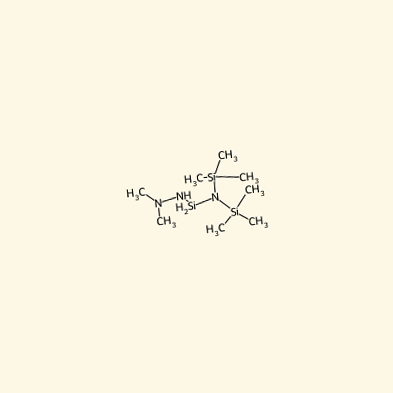 CN(C)N[SiH2]N([Si](C)(C)C)[Si](C)(C)C